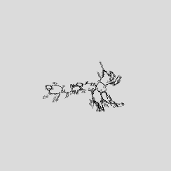 CCn1ncc2c(NC3CCOC(=O)C3)c(-c3nc(CN4CCOCC4)no3)cnc21